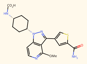 COc1nccc2c1c(-c1csc(C(N)=O)c1)nn2[C@H]1CC[C@@H](NC(=O)O)CC1